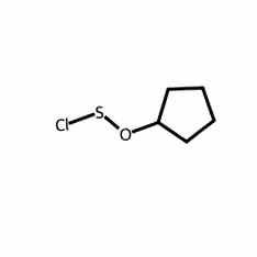 ClSOC1CCCC1